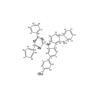 CC(C)(C)c1ccc(-c2ccc3c4c5sc6ccccc6c5ccc4n(-c4nc(-c5ccccc5)nc(-c5ccccc5)n4)c3c2)cc1